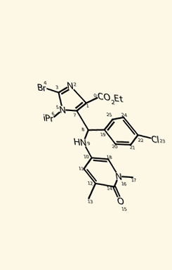 CCOC(=O)c1nc(Br)n(C(C)C)c1C(Nc1cc(C)c(=O)n(C)c1)c1ccc(Cl)cc1